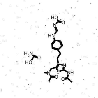 CC(=O)Nc1nc(CCc2ccc(NC=NC(=O)O)cc2)c(CN(C)C(C)=O)s1.NC(=O)O